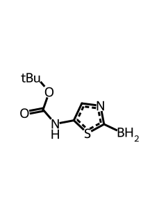 Bc1ncc(NC(=O)OC(C)(C)C)s1